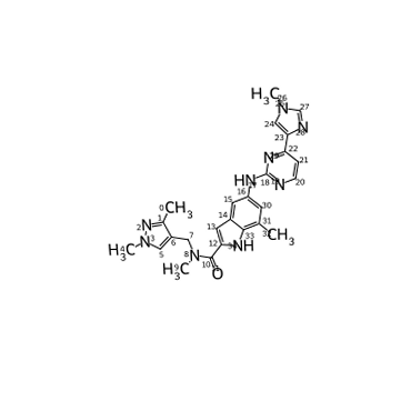 Cc1nn(C)cc1CN(C)C(=O)c1cc2cc(Nc3nccc(-c4cn(C)cn4)n3)cc(C)c2[nH]1